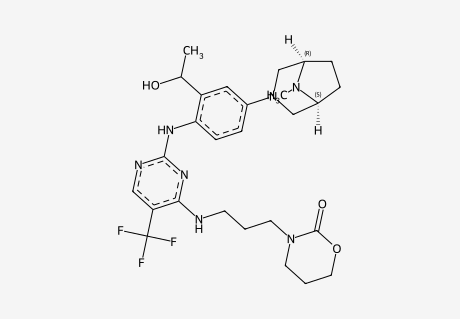 CC(O)c1cc(N2C[C@H]3CC[C@@H](C2)N3C)ccc1Nc1ncc(C(F)(F)F)c(NCCCN2CCCOC2=O)n1